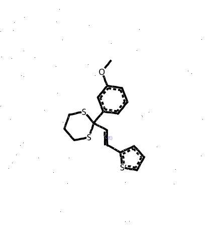 COc1cccc(C2(/C=C/c3cccs3)SCCCS2)c1